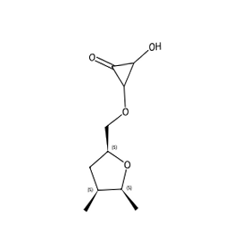 C[C@@H]1O[C@H](COC2C(=O)C2O)C[C@@H]1C